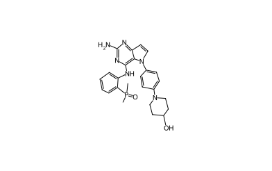 CP(C)(=O)c1ccccc1Nc1nc(N)nc2ccn(-c3ccc(N4CCC(O)CC4)cc3)c12